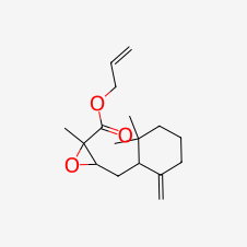 C=CCOC(=O)C1(C)OC1CC1C(=C)CCCC1(C)C